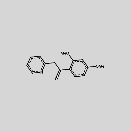 COc1ccc(C(=O)Cc2ccccn2)c(OC)c1